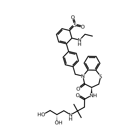 CCNC1C(c2ccc(CN3C(=O)[C@H](NC(=O)CC(C)(C)NC[C@H](O)CO)CSc4ccccc43)cc2)=CC=CC1=S(=O)=O